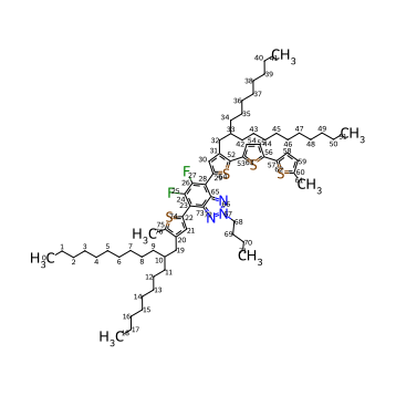 CCCCCCCCCCC(CCCCCCCC)Cc1cc(-c2c(F)c(F)c(-c3cc(CC(CCCCCCCC)CCCCCCCCCC)c(-c4ccc(-c5ccc(C)s5)s4)s3)c3nn(CCCC)nc23)sc1C